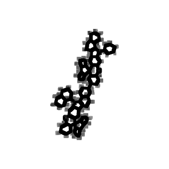 c1ccc(-n2c3cc4c(cc3c3ccc5ccccc5c32)C2(c3cc(-c5ccc6c(ccc7c8cc9c(cc8n(-c8cccc%10ccccc8%10)c67)Oc6ccccc6C96c7ccccc7-c7ccccc76)c5)ccc3O4)c3ccccc3-c3ccccc32)cc1